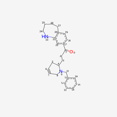 O=C(CCC1CC#CCN1Cc1ccccc1)c1ccc2c(c1)NCCCC2